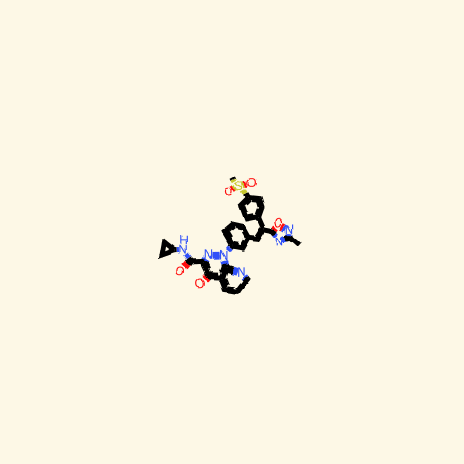 Cc1noc(/C(=C/c2cccc(-n3nc(C(=O)NC4CC4)c(=O)c4cccnc43)c2)c2ccc(S(C)(=O)=O)cc2)n1